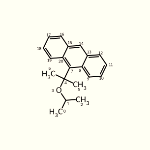 CC(C)OC(C)(C)c1c2ccccc2cc2ccccc12